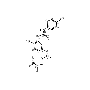 CC(=O)N(C)CCN(C)Cc1ccc(F)c(NC(=O)Nc2ccc(F)cc2)c1